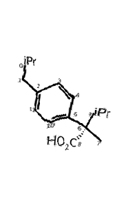 CC(C)Cc1ccc([C@@](C)(C(=O)O)C(C)C)cc1